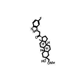 COC[C@@]1(O)CC[C@H]2C(CC[C@@H]3[C@@H]2CC[C@]2(C)[C@@H](C(=O)Cn4nnc5ccc(F)cc54)CC[C@@H]32)C1